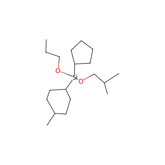 CCCO[Si](OCC(C)C)(C1CCCC1)C1CCC(C)CC1